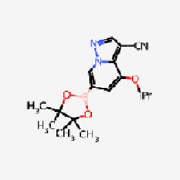 CC(C)Oc1cc(B2OC(C)(C)C(C)(C)O2)cn2ncc(C#N)c12